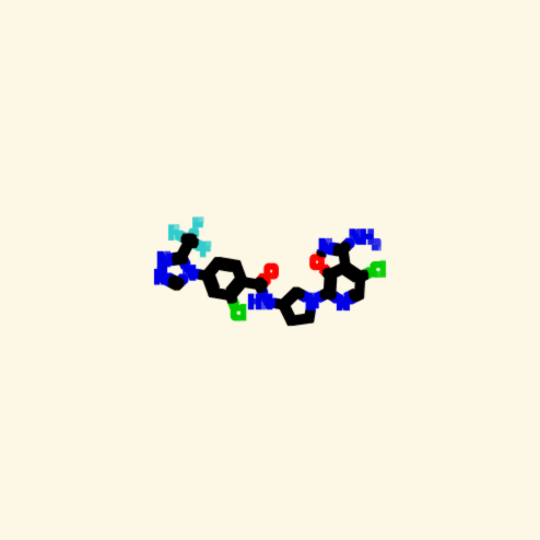 Nc1noc2c(N3CCC(NC(=O)c4ccc(-n5cnnc5C(F)(F)F)cc4Cl)C3)ncc(Cl)c12